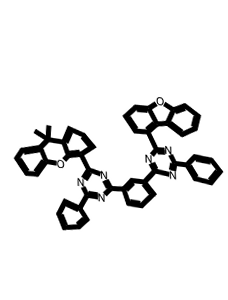 CC1(C)c2ccccc2Oc2c(-c3nc(-c4ccccc4)nc(-c4cccc(-c5nc(-c6ccccc6)nc(-c6cccc7oc8ccccc8c67)n5)c4)n3)cccc21